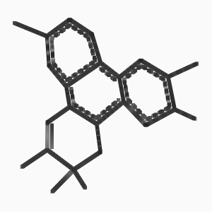 CC1=Cc2c(c3cc(C)c(C)cc3c3ccc(C)cc23)CC1(C)C